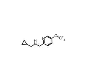 FC(F)(F)Oc1ccc(CNCC2CC2)nc1